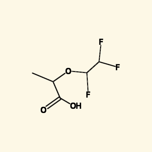 CC(OC(F)C(F)F)C(=O)O